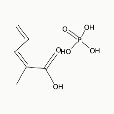 C=CC=C(C)C(=O)O.O=P(O)(O)O